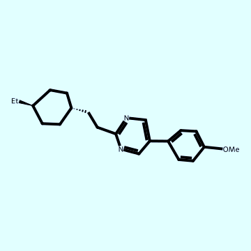 CC[C@H]1CC[C@H](CCc2ncc(-c3ccc(OC)cc3)cn2)CC1